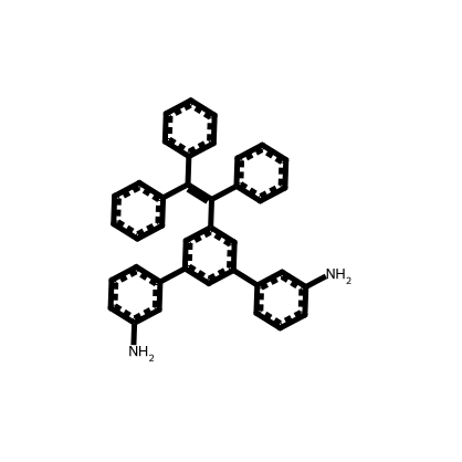 Nc1cccc(-c2cc(C(=C(c3ccccc3)c3ccccc3)c3ccccc3)cc(-c3cccc(N)c3)c2)c1